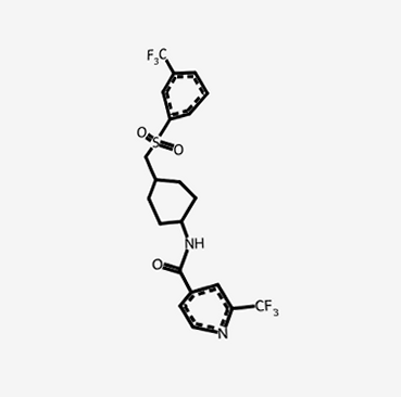 O=C(NC1CCC(CS(=O)(=O)c2cccc(C(F)(F)F)c2)CC1)c1ccnc(C(F)(F)F)c1